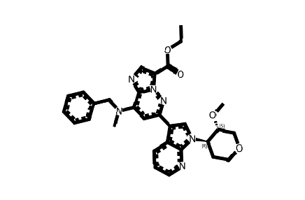 CCOC(=O)c1cnc2c(N(C)Cc3ccccc3)cc(-c3cn([C@@H]4CCOC[C@H]4OC)c4ncccc34)nn12